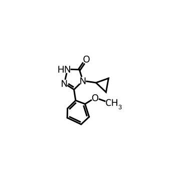 COc1ccccc1-c1n[nH]c(=O)n1C1CC1